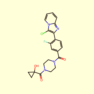 O=C(c1ccc(-c2nc3ccccn3c2Cl)c(F)c1)N1CCN(C(=O)C2(O)CC2)CC1